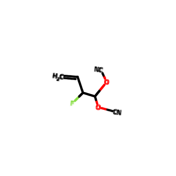 C=CC(F)C(OC#N)OC#N